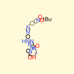 CC(C)(C)OC(=O)N1CCC2(CCC(CN3CCN(c4ccc(Nc5ncc6c(=O)n7n(c6n5)-c5cccc(n5)[C@](C)(O)CC/C=C\C7)cc4)CC3)CC2)CC1